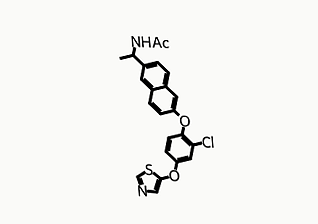 CC(=O)NC(C)c1ccc2cc(Oc3ccc(Oc4cncs4)cc3Cl)ccc2c1